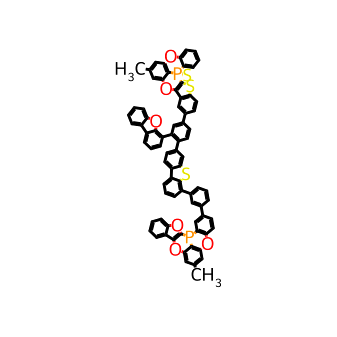 Cc1cc2c3c(c1)Oc1c(oc4ccccc14)P3c1cc(-c3cccc(-c4cccc5c4sc4cc(-c6ccc(-c7ccc8sc9c(c8c7)Oc7cc(C)cc8c7P9(=S)c7ccccc7O8)cc6-c6cccc7c6oc6ccccc67)ccc45)c3)ccc1O2